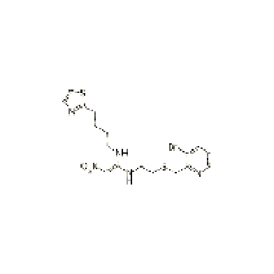 O=[N+]([O-])/C=C(\NCCCCc1nccs1)NCCSCc1ncccc1Br